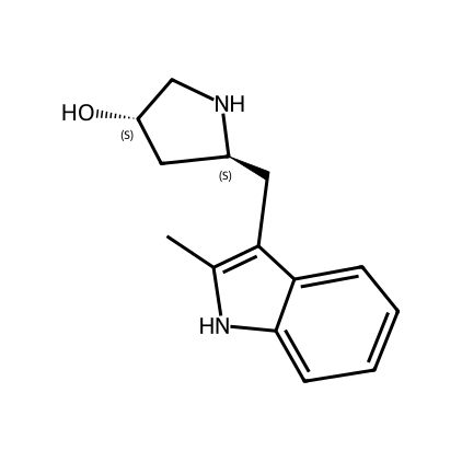 Cc1[nH]c2ccccc2c1C[C@H]1C[C@H](O)CN1